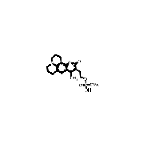 COP(=O)(O)OCCc1c(C)c2cc3c4c(c2oc1=O)CCCN4CCC3